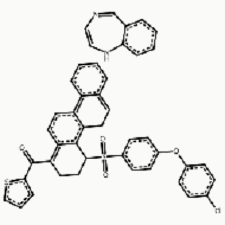 C1=CNc2ccccc2C=N1.O=C(C1=c2ccc3c(c2C(S(=O)(=O)c2ccc(Oc4ccc(Cl)cc4)cc2)CC1)CC=c1ccccc1=3)c1cccs1